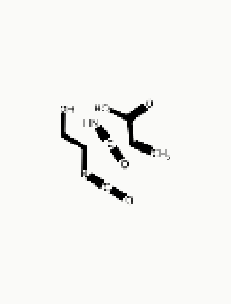 C=CC(=O)O.N=C=O.O=C=NCCO